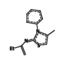 C=C(CC)/N=c1\scc(C)n1-c1ccccc1